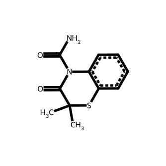 CC1(C)Sc2ccccc2N(C(N)=O)C1=O